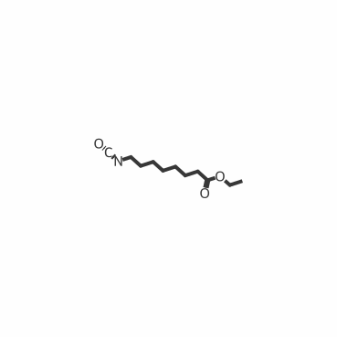 CCOC(=O)CCCCCCCN=C=O